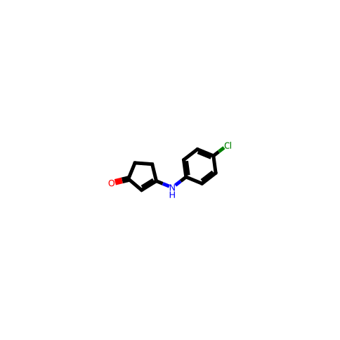 O=C1C=C(Nc2ccc(Cl)cc2)CC1